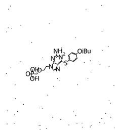 CC(C)COc1ccc(Sc2nc(N)nc3c2ncn3CCOCP(=O)(O)O)cc1